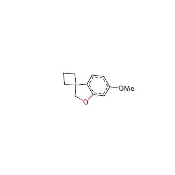 COc1ccc2c(c1)OCC21CCC1